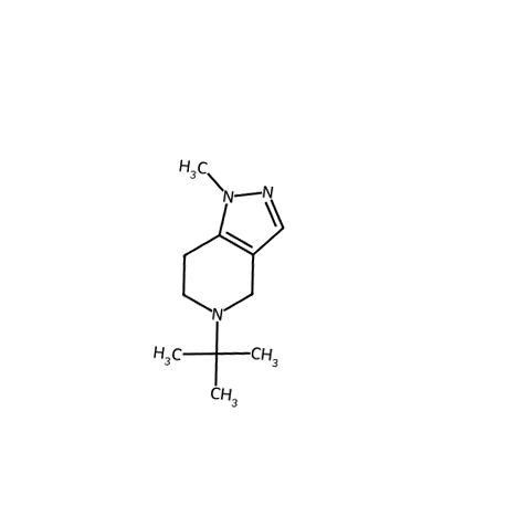 Cn1ncc2c1CCN(C(C)(C)C)C2